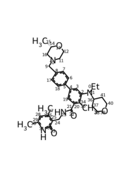 CCN(c1cc(-c2ccc(CN3CCO[C@@H](C)C3)cc2)cc(C(=O)NCc2c(C)cc(C)[nH]c2=O)c1C)C1CCOCC1